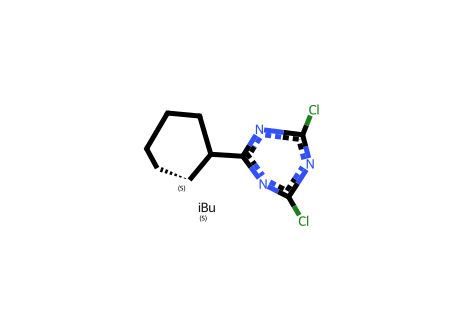 CC[C@H](C)[C@@H]1CCCCC1c1nc(Cl)nc(Cl)n1